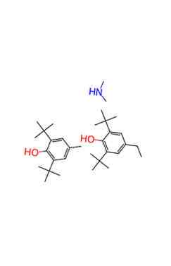 CCc1cc(C(C)(C)C)c(O)c(C(C)(C)C)c1.CNC.Cc1cc(C(C)(C)C)c(O)c(C(C)(C)C)c1